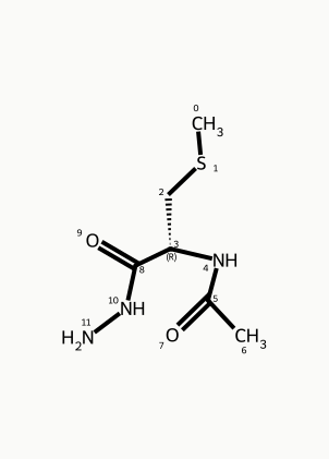 CSC[C@H](NC(C)=O)C(=O)NN